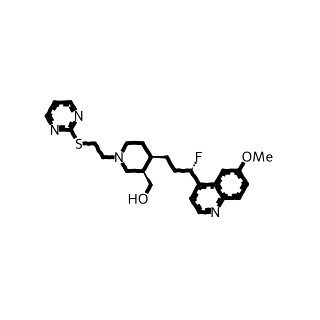 COc1ccc2nccc([C@@H](F)CC[C@@H]3CCN(CCSc4ncccn4)C[C@@H]3CO)c2c1